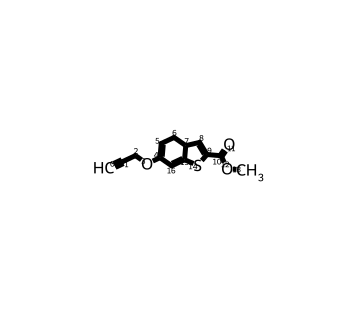 C#CCOC1=CCC2C=C(C(=O)OC)SC2=C1